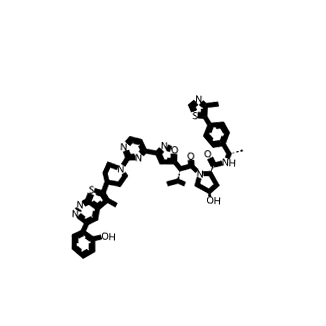 Cc1ncsc1-c1ccc([C@H](C)NC(=O)[C@@H]2C[C@@H](O)CN2C(=O)[C@@H](c2cc(-c3ccnc(N4CCC(c5sc6nnc(-c7ccccc7O)cc6c5C)CC4)n3)no2)C(C)C)cc1